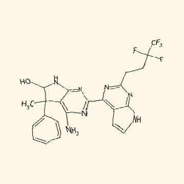 CC1(c2ccccc2)c2c(N)nc(-c3nc(CCC(F)(F)C(F)(F)F)nc4[nH]ccc34)nc2NC1O